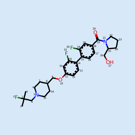 CC(C)(F)CN1CCC(COc2ccc(-c3ccc(C(=O)N4CCCC4CO)cc3F)c(F)c2)CC1